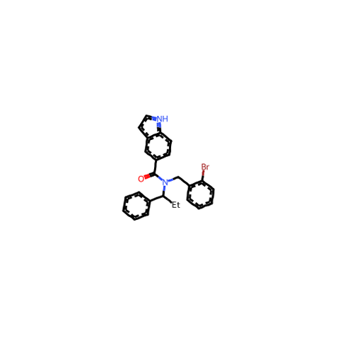 CCC(c1ccccc1)N(Cc1ccccc1Br)C(=O)c1ccc2[nH]ccc2c1